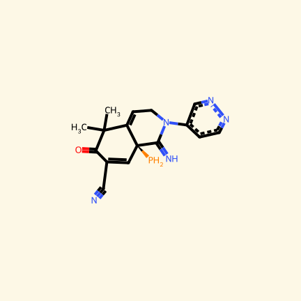 CC1(C)C(=O)C(C#N)=C[C@@]2(P)C(=N)N(c3ccnnc3)CC=C12